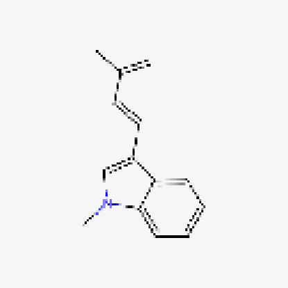 C=C(C)/C=C/c1cn(C)c2ccccc12